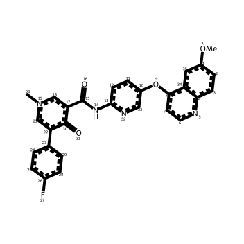 COc1ccc2nccc(Oc3ccc(NC(=O)c4cn(C)cc(-c5ccc(F)cc5)c4=O)nc3)c2c1